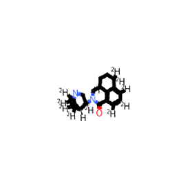 [2H]c1c([2H])c2c3c(c1[2H])C([2H])([2H])CC[C@@H]3CN([C@]1([2H])CN3CC[C@H]1C([2H])([2H])C3([2H])[2H])C2=O